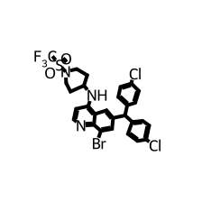 O=S(=O)(N1CCC(Nc2ccnc3c(Br)cc(C(c4ccc(Cl)cc4)c4ccc(Cl)cc4)cc23)CC1)C(F)(F)F